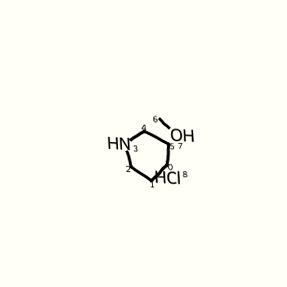 C1CCNCC1.CO.Cl